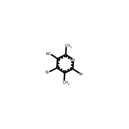 Cc1nc(Br)c(C)c(Br)c1C#N